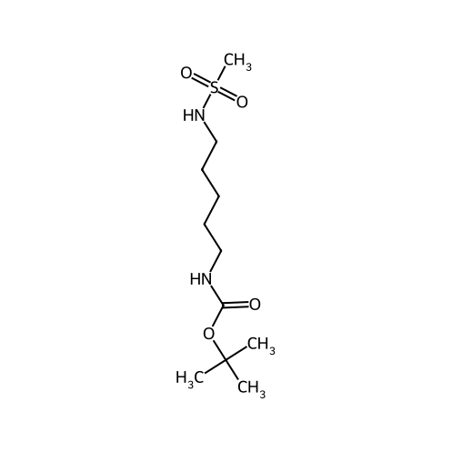 CC(C)(C)OC(=O)NCCCCCNS(C)(=O)=O